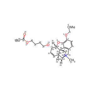 COCOc1ccc2c3c1O[C@H]1[C@@H](OCCCCOC(=O)C(C)(C)C)C=C[C@H]4[C@@H](C2)N(C)CC[C@@]341